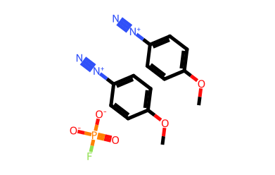 COc1ccc([N+]#N)cc1.COc1ccc([N+]#N)cc1.O=P([O-])([O-])F